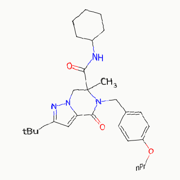 CCCOc1ccc(CN2C(=O)c3cc(C(C)(C)C)nn3CC2(C)C(=O)NC2CCCCC2)cc1